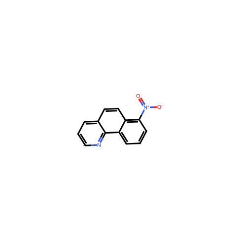 O=[N+]([O-])c1cccc2c1ccc1cc[c]nc12